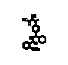 COc1ccccc1C(=O)NC(c1ccc(N(C)C(=N)NC#N)cc1)C1CCCCC1